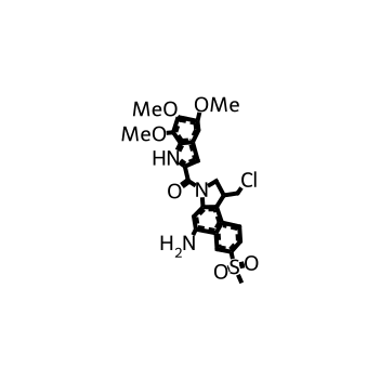 COc1cc2cc(C(=O)N3CC(CCl)c4c3cc(N)c3cc(S(C)(=O)=O)ccc43)[nH]c2c(OC)c1OC